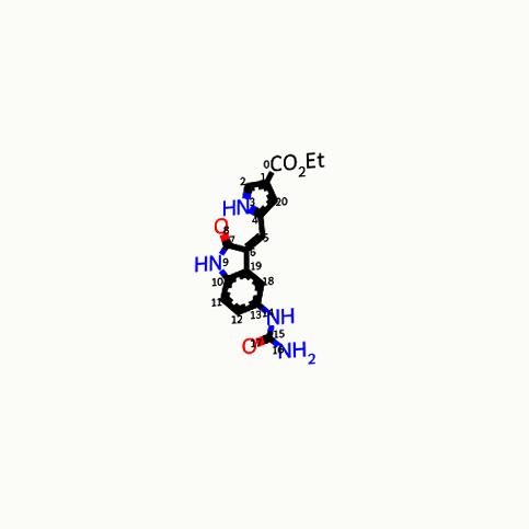 CCOC(=O)c1c[nH]c(/C=C2\C(=O)Nc3ccc(NC(N)=O)cc32)c1